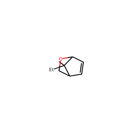 CCC1(C)C2C=CC1OC2